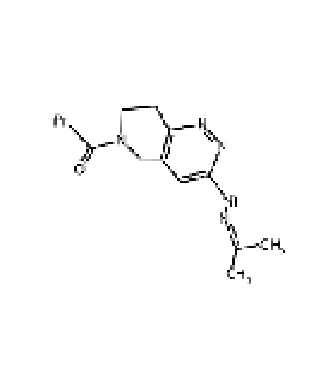 CCCC(=O)N1CCc2nnc(NN=C(C)C)cc2C1